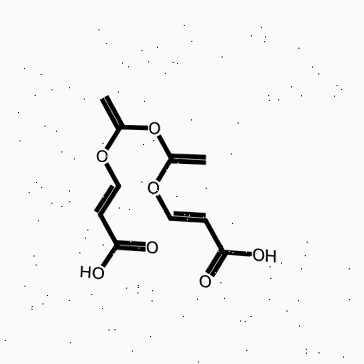 C=C(OC=CC(=O)O)OC(=C)OC=CC(=O)O